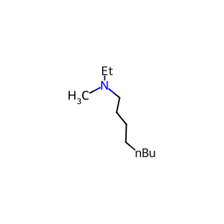 CCCCCCCCN(C)CC